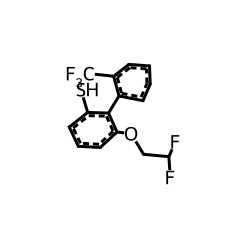 FC(F)COc1cccc(S)c1-c1ccccc1C(F)(F)F